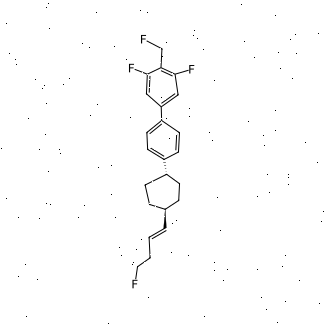 FCCC=C[C@H]1CC[C@H](c2ccc(-c3cc(F)c(CF)c(F)c3)cc2)CC1